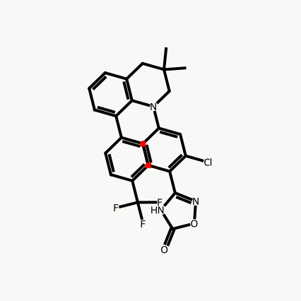 CC1(C)Cc2cccc(-c3ccc(C(F)(F)F)cc3)c2N(c2ccc(-c3noc(=O)[nH]3)c(Cl)c2)C1